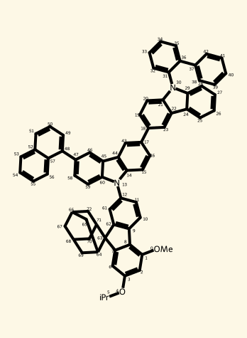 COc1cc(OC(C)C)cc2c1-c1ccc(-n3c4ccc(-c5ccc6c(c5)c5ccccc5n6-c5ccccc5-c5ccccc5)cc4c4cc(-c5cccc6ccccc56)ccc43)cc1C21C2CC3CC(C2)CC1C3